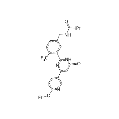 CCOc1ccc(-c2cc(=O)[nH]c(-c3cc(CNC(=O)C(C)C)ccc3C(F)(F)F)n2)cn1